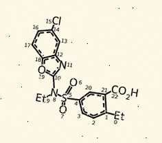 CCc1ccc(S(=O)(=O)N(CC)c2nc3cc(Cl)ccc3o2)cc1C(=O)O